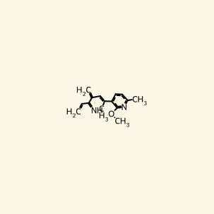 C=CC(=N)C(=C)/C=C(\C)c1ccc(C)nc1OC